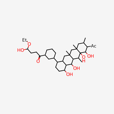 CCOC(O)CCC(=O)C1CCCC(C2CCC(O)C3C(O)C4C(C)C5(O)C(O)C(C(C)=O)C(C)CC5(C)CC4(C)CC23)C1